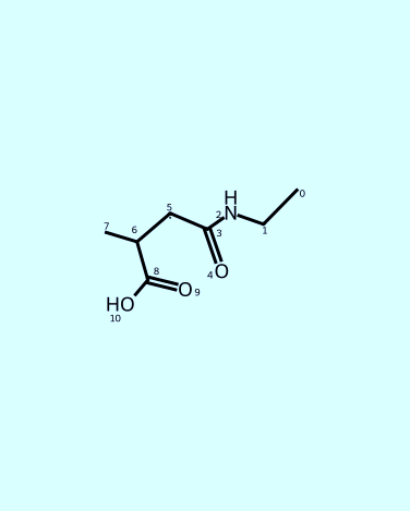 CCNC(=O)[CH]C(C)C(=O)O